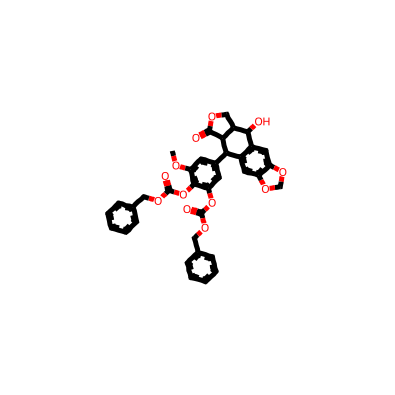 COc1cc(C2c3cc4c(cc3C(O)C3COC(=O)C23)OCO4)cc(OC(=O)OCc2ccccc2)c1OC(=O)OCc1ccccc1